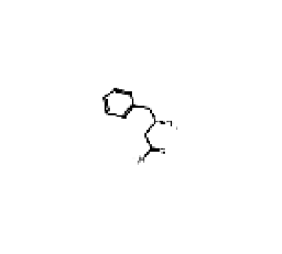 CN(CC(N)=O)Cc1ccccc1